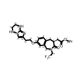 CC(C)OC(=O)C[C@@H]1Cc2ccc(OCCc3cn4c(n3)NCCN4)cc2CN(CC(F)(F)F)C1=O